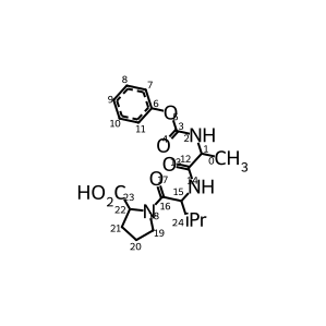 CC(NC(=O)Oc1ccccc1)C(=O)NC(C(=O)N1CCCC1C(=O)O)C(C)C